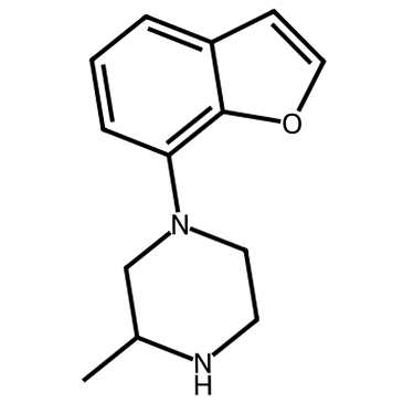 CC1CN(c2cccc3ccoc23)CCN1